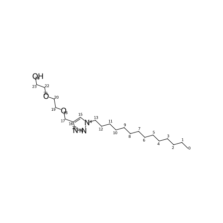 CCCCCCCCCCCCCCn1cc(COCCOCCO)nn1